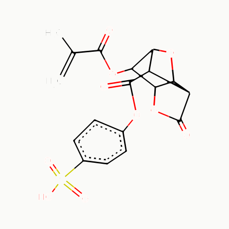 C=C(C)C(=O)OC1C2OC(=O)C3C2OC1C3C(=O)Oc1ccc(S(=O)(=O)O)cc1